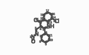 O=N/N=C/c1c(-c2ccccc2)[nH]c2c(Cl)cccc2c1=O